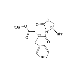 CCC[C@@H]1COC(=O)N1C(=O)[C@@H](CC(=O)OC(C)(C)C)Cc1ccccc1